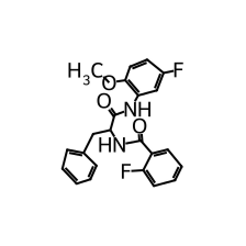 COc1ccc(F)cc1NC(=O)C(Cc1ccccc1)NC(=O)c1ccccc1F